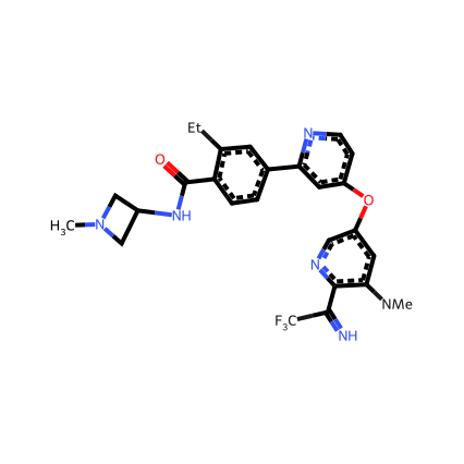 CCc1cc(-c2cc(Oc3cnc(C(=N)C(F)(F)F)c(NC)c3)ccn2)ccc1C(=O)NC1CN(C)C1